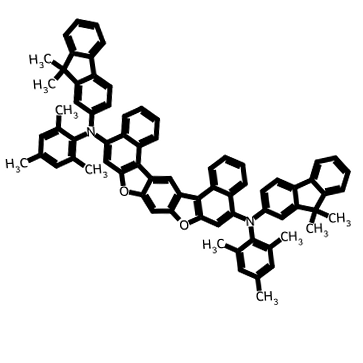 Cc1cc(C)c(N(c2ccc3c(c2)C(C)(C)c2ccccc2-3)c2cc3oc4cc5oc6cc(N(c7ccc8c(c7)C(C)(C)c7ccccc7-8)c7c(C)cc(C)cc7C)c7ccccc7c6c5cc4c3c3ccccc23)c(C)c1